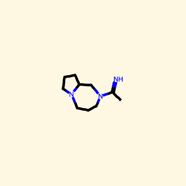 CC(=N)N1CCCN2CCCC2C1